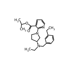 CCc1cccc(CN(CC)[C@H]2CCN(c3ncccc3C(=O)OC(C)C)C2)c1